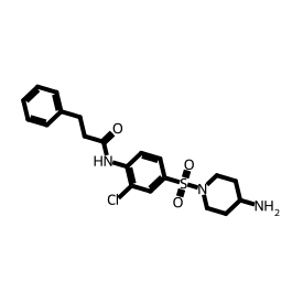 NC1CCN(S(=O)(=O)c2ccc(NC(=O)CCc3ccccc3)c(Cl)c2)CC1